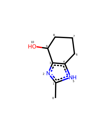 Cc1nc2c([nH]1)CCCC2O